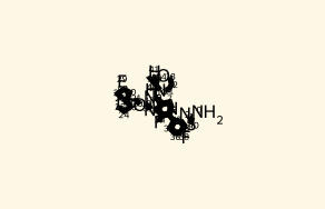 Nc1nc2c(-c3ncc4c(N5CCCO[C@@H]6C[C@@H]65)nc(OC[C@@]56CCCN5C[C@H](F)C6)nc4c3F)ccc(F)c2s1